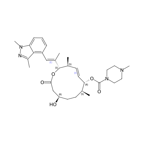 C/C(=C\c1cccc2c1c(C)nn2C)[C@H]1OC(=O)C[C@H](O)CC[C@H](C)[C@@H](OC(=O)N2CCN(C)CC2)/C=C/[C@@H]1C